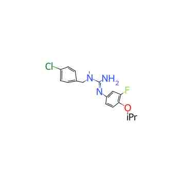 CC(C)Oc1ccc(/N=C(\N)N(C)Cc2ccc(Cl)cc2)cc1F